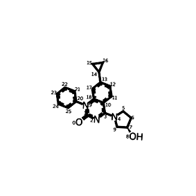 O=c1nc(N2CC[C@@H](O)C2)c2ccc(C3CC3)cc2n1-c1ccccc1